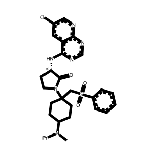 CC(C)N(C)C1CCC(CS(=O)(=O)c2ccccc2)(N2CC[C@H](Nc3ncnc4ncc(Cl)cc34)C2=O)CC1